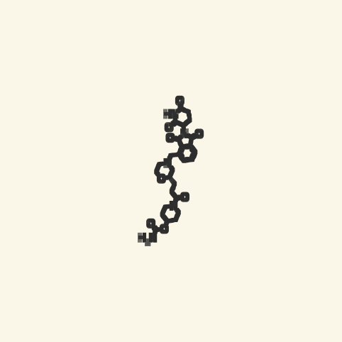 NC(=O)OC1CCN(C(=O)CC[C@@H]2CN(Cc3cccc4c3C(=O)N(C3CCC(=O)NC3=O)C4=O)CCO2)CC1